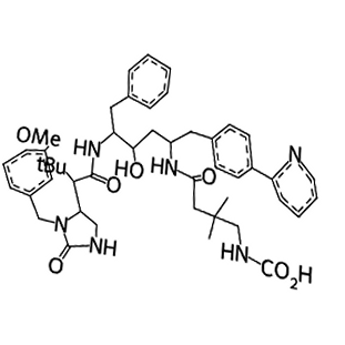 COc1cccc(CN2C(=O)NCC2C(C(=O)NC(Cc2ccccc2)C(O)CC(Cc2ccc(-c3ccccn3)cc2)NC(=O)CC(C)(C)CNC(=O)O)C(C)(C)C)c1